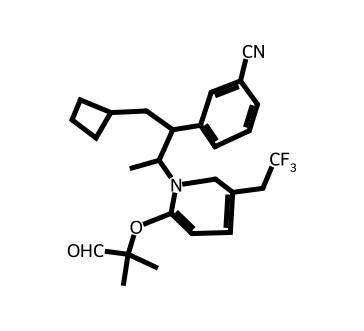 CC(C(CC1CCC1)c1cccc(C#N)c1)N1CC(CC(F)(F)F)=CC=C1OC(C)(C)C=O